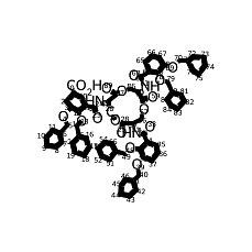 O=C(O)c1cc(OCc2ccccc2)c(OCc2ccccc2)c(C(=O)N[C@H]2COC(=O)[C@@H](NC(=O)c3cccc(OCc4ccccc4)c3OCc3ccccc3)COC(=O)[C@@H](NC(=O)c3cccc(OCc4ccccc4)c3OCc3ccccc3)COC2=O)c1